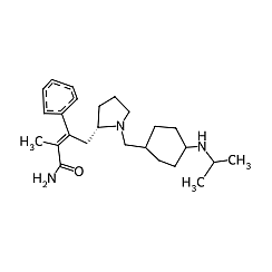 C/C(C(N)=O)=C(/C[C@@H]1CCCN1CC1CCC(NC(C)C)CC1)c1ccccc1